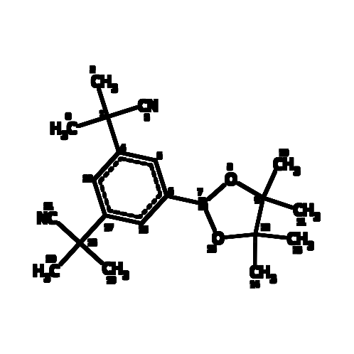 CC(C)(C#N)c1cc(B2OC(C)(C)C(C)(C)O2)cc(C(C)(C)C#N)c1